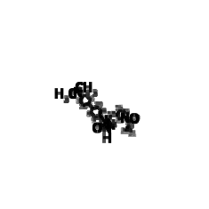 CN(C)c1ccc(-c2ccc(-n3c(C[C@@H]4CCN(C(=O)C5CC5)C4)n[nH]c3=O)cc2)cc1